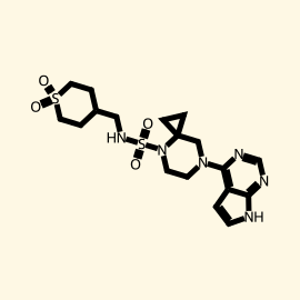 O=S1(=O)CCC(CNS(=O)(=O)N2CCN(c3ncnc4[nH]ccc34)CC23CC3)CC1